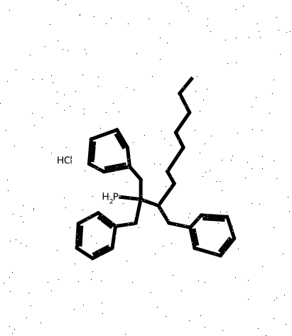 CCCCCCCC(Cc1ccccc1)C(P)(Cc1ccccc1)Cc1ccccc1.Cl